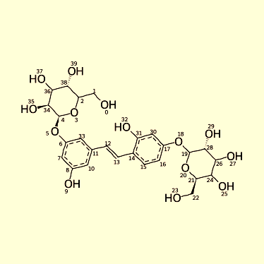 OCC1O[C@@H](Oc2cc(O)cc(/C=C/c3ccc(OC4O[C@H](CO)C(O)C(O)[C@H]4O)cc3O)c2)[C@@H](O)C(O)[C@@H]1O